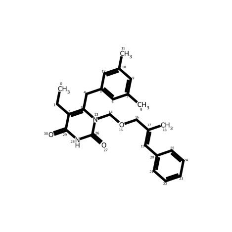 CCc1c(Cc2cc(C)cc(C)c2)n(COCC(C)=Cc2ccccc2)c(=O)[nH]c1=O